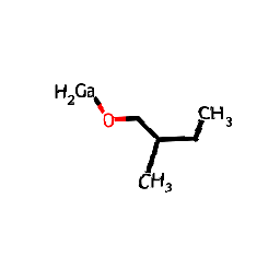 CCC(C)C[O][GaH2]